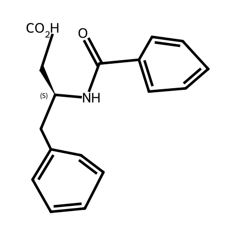 O=C(O)C[C@H](Cc1ccccc1)NC(=O)c1ccccc1